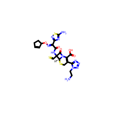 NCCn1nnnc1C1=C(C(=O)O)N2C(=O)C(C=S)(NC(=O)C(=NOC3C=CCC3)c3nsc(N)n3)[C@@H]2SC1